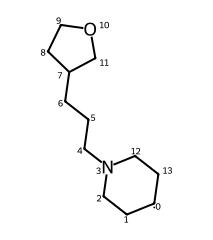 [CH]1CCN(CCCC2CCOC2)CC1